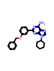 Nc1nc(-c2cccc(OCc3ccccc3)c2)nc2c1ncn2C1CCCCC1